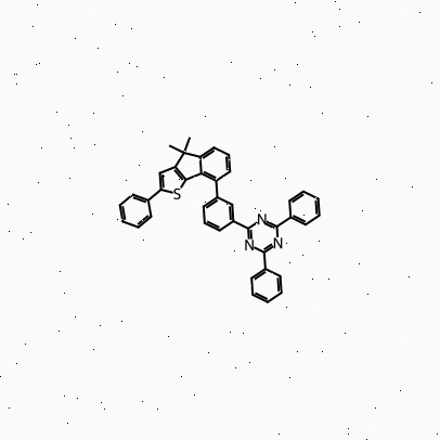 CC1(C)c2cc(-c3ccccc3)sc2-c2c(-c3cccc(-c4nc(-c5ccccc5)nc(-c5ccccc5)n4)c3)cccc21